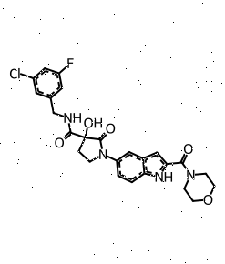 O=C(c1cc2cc(N3CCC(O)(C(=O)NCc4cc(F)cc(Cl)c4)C3=O)ccc2[nH]1)N1CCOCC1